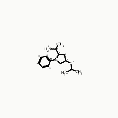 CC(C)OC1CC(C(C)N)N(c2ccccc2)C1